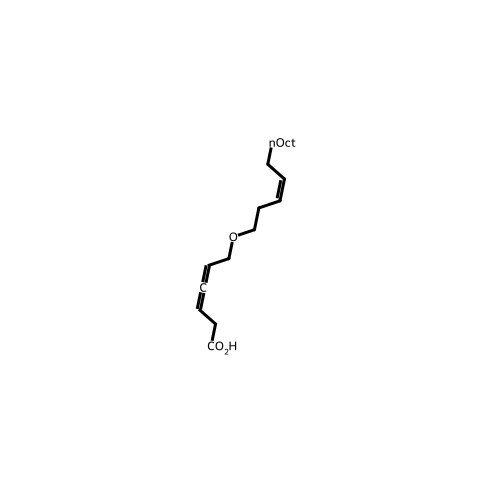 CCCCCCCCC/C=C\CCOCC=C=CCC(=O)O